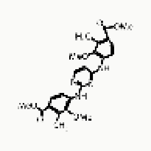 COC(=O)c1ccc(Nc2ccnc(Nc3ccc(C(=O)OC)c(C)c3OC)n2)c(OC)c1C